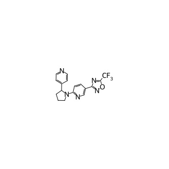 FC(F)(F)c1nc(-c2ccc(N3CCCC3c3ccncc3)nc2)no1